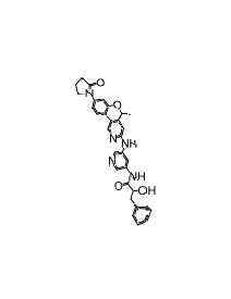 CC1Oc2cc(N3CCCC3=O)ccc2-c2cnc(Nc3cncc(NC(=O)C(O)Cc4ccccc4)c3)cc21